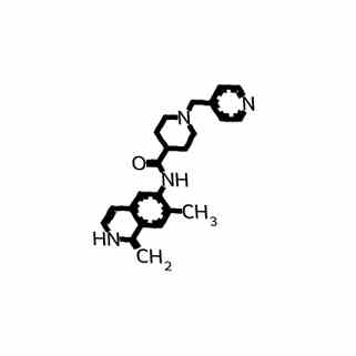 C=C1NC=Cc2cc(NC(=O)C3CCN(Cc4ccncc4)CC3)c(C)cc21